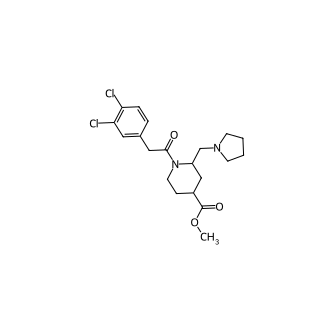 COC(=O)C1CCN(C(=O)Cc2ccc(Cl)c(Cl)c2)C(CN2CCCC2)C1